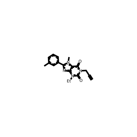 C#CCn1c(=O)c2c(nc(-c3cccc(C)c3)n2C)n(CC)c1=O